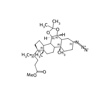 COC(=O)CC[C@@H](C)[C@H]1CCC2C3C(CC[C@@]21C)[C@@]1(C)CC[C@H](N=[N+]=[N-])CC1[C@H]1OC(C)(C)O[C@H]31